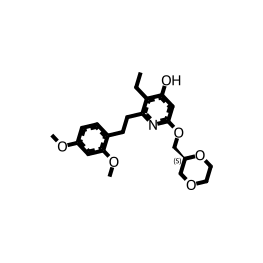 CCc1c(O)cc(OC[C@@H]2COCCO2)nc1CCc1ccc(OC)cc1OC